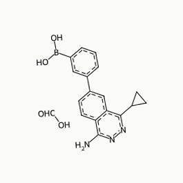 Nc1nnc(C2CC2)c2cc(-c3cccc(B(O)O)c3)ccc12.O=CO